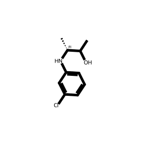 CC(O)[C@@H](C)Nc1cccc(Cl)c1